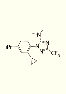 CC(C)c1ccc(-n2nc(C(F)(F)F)nc2N(C)C)c(C2CC2)c1